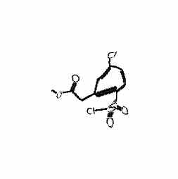 COC(=O)Cc1cc(Cl)ccc1S(=O)(=O)Cl